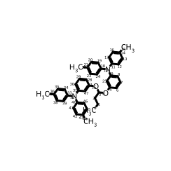 CCCC(Oc1cccc(N(c2ccc(C)cc2)c2ccc(C)cc2)c1)Oc1cccc(N(c2ccc(C)cc2)c2ccc(C)cc2)c1